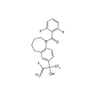 C=C(F)C(O)(c1ccc2c(c1)CCCCN2C(=O)c1c(F)cccc1F)C(F)(F)F